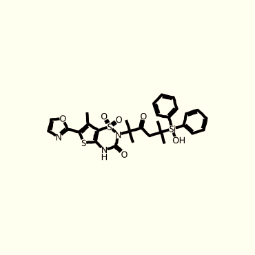 Cc1c(-c2ncco2)sc2c1S(=O)(=O)N(C(C)(C)C(=O)CC(C)(C)[Si](O)(c1ccccc1)c1ccccc1)C(=O)N2